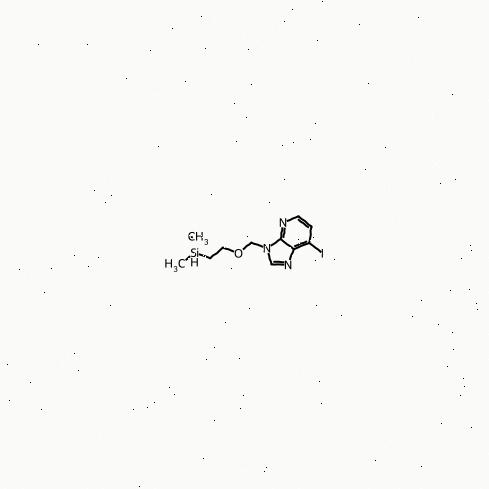 C[SiH](C)CCOCn1cnc2c(I)ccnc21